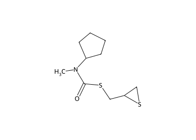 CN(C(=O)SCC1CS1)C1CCCC1